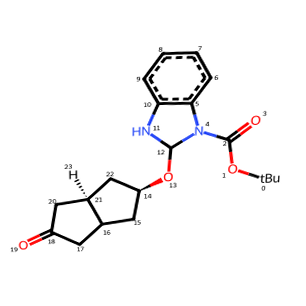 CC(C)(C)OC(=O)N1c2ccccc2NC1O[C@H]1CC2CC(=O)C[C@H]2C1